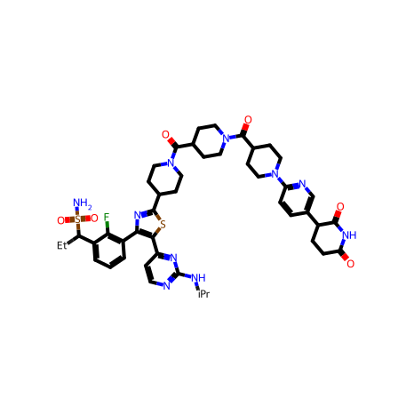 CCC(c1cccc(-c2nc(C3CCN(C(=O)C4CCN(C(=O)C5CCN(c6ccc(C7CCC(=O)NC7=O)cn6)CC5)CC4)CC3)sc2-c2ccnc(NC(C)C)n2)c1F)S(N)(=O)=O